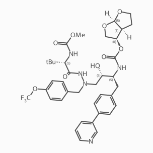 COC(=O)N[C@H](C(=O)NN(Cc1ccc(OC(F)(F)F)cc1)C[C@H](O)[C@H](Cc1ccc(-c2cccnc2)cc1)NC(=O)O[C@H]1CO[C@H]2OCC[C@H]21)C(C)(C)C